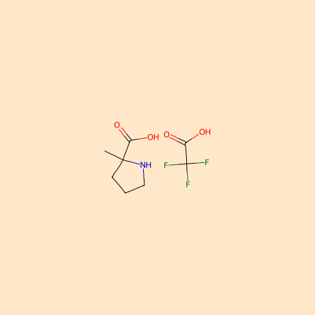 CC1(C(=O)O)CCCN1.O=C(O)C(F)(F)F